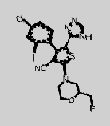 N#Cc1c(N2CCO[C@H](CF)C2)sc(-c2nnc[nH]2)c1-c1ccc(Cl)cc1I